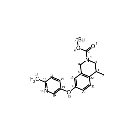 CC1CN(C(=O)OC(C)(C)C)Cc2cc(Oc3ccc(C(F)(F)F)nc3)ccc21